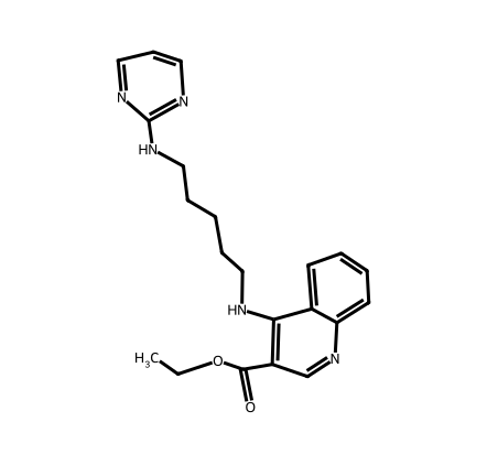 CCOC(=O)c1cnc2ccccc2c1NCCCCCNc1ncccn1